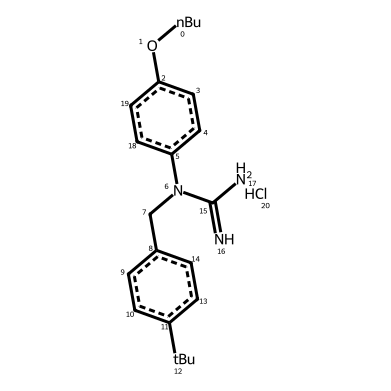 CCCCOc1ccc(N(Cc2ccc(C(C)(C)C)cc2)C(=N)N)cc1.Cl